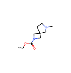 CCOC(=O)N1CC2(CCN(C)C2)C1